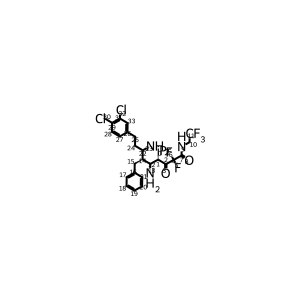 CC(C)[C@H](C(=O)C(F)(F)C(=O)NCC(F)(F)F)C(N)[C@@H](Cc1ccccc1)C(N)CCc1ccc(Cl)c(Cl)c1